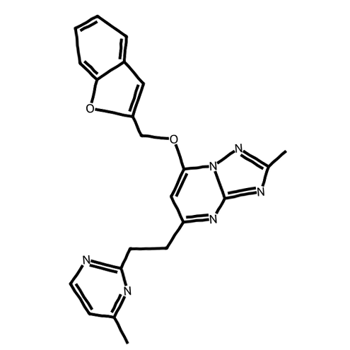 Cc1ccnc(CCc2cc(OCc3cc4ccccc4o3)n3nc(C)nc3n2)n1